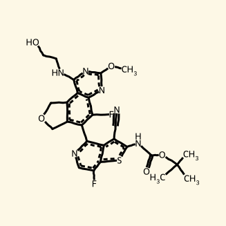 COc1nc(NCCO)c2c3c(c(-c4ncc(F)c5sc(NC(=O)OC(C)(C)C)c(C#N)c45)c(F)c2n1)COC3